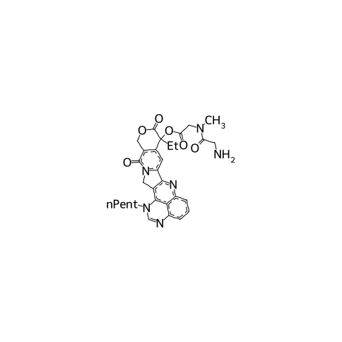 CCCCCN1C=Nc2cccc3nc4c(c1c23)Cn1c-4cc2c(c1=O)COC(=O)C2(CC)OC(=O)CN(C)C(=O)CN